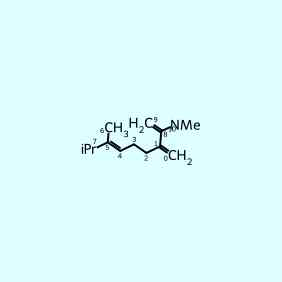 C=C(CC/C=C(\C)C(C)C)C(=C)NC